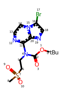 CC(C)(C)OC(=O)N(CCS(C)(=O)=O)c1nccn2c(Br)cnc12